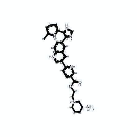 Cc1cccc(-c2[nH]cnc2-c2ccc3ncc(-c4ccc(C(=O)OCCN5CCC[C@@H](N)C5)cn4)cc3c2)n1